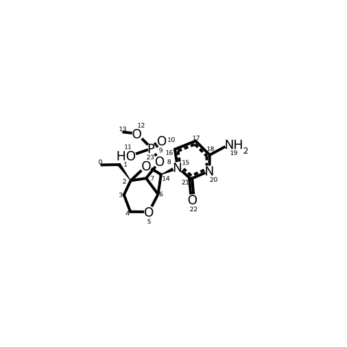 CC[C@]12CCOC(C1OP(=O)(O)OC)[C@H](n1ccc(N)nc1=O)O2